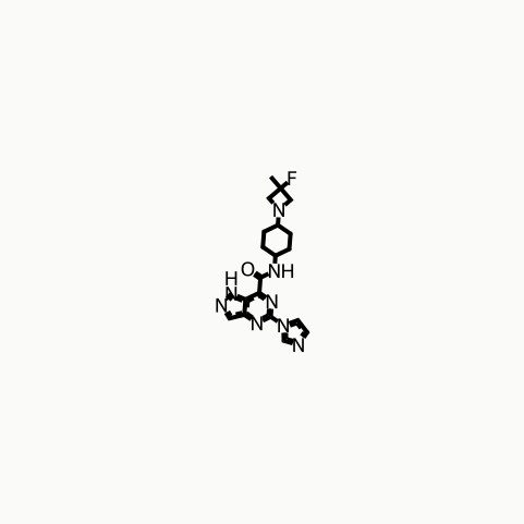 CC1(F)CN(C2CCC(NC(=O)c3nc(-n4ccnc4)nc4cn[nH]c34)CC2)C1